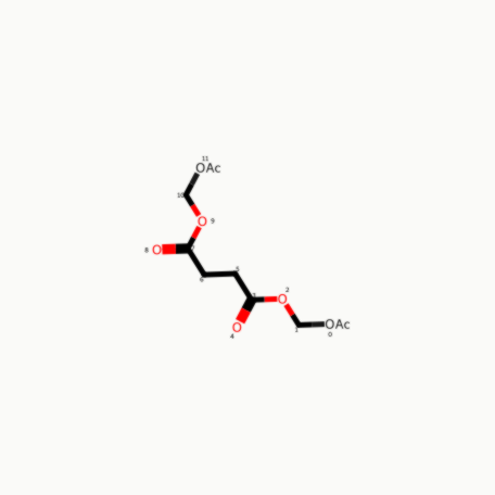 CC(=O)OCOC(=O)CCC(=O)OCOC(C)=O